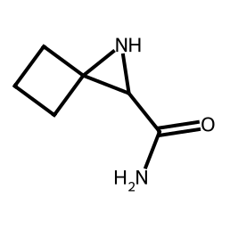 NC(=O)C1NC12CCC2